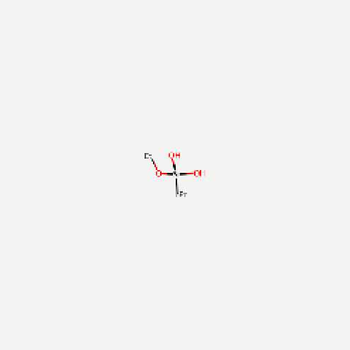 CCC[Si](O)(O)OCC